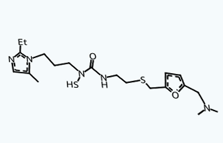 CCc1ncc(C)n1CCCN(S)C(=O)NCCSCc1ccc(CN(C)C)o1